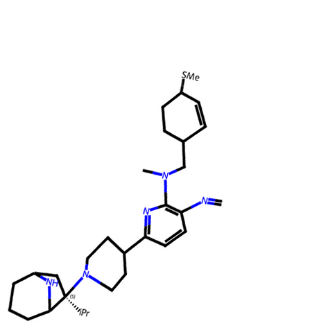 C=Nc1ccc(C2CCN([C@]3(C(C)C)CC4CCCC3N4)CC2)nc1N(C)CC1C=CC(SC)CC1